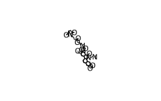 CN(C)CCn1c(=O)c2cc(OC(=O)N(C)CCOC(=O)CCCN3C(=O)C=CC3=O)c(CO)cc2c2ccc3cc4c(cc3c21)OCO4